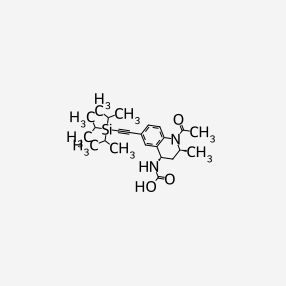 CC(=O)N1c2ccc(C#C[Si](C(C)C)(C(C)C)C(C)C)cc2[C@H](NC(=O)O)C[C@@H]1C